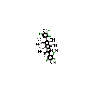 N#CC(C#N)=C1C(c2cc(F)c(C#N)c(F)c2F)=C(C#N)c2c(C#N)c3c(c(C#N)c21)C(=C(C#N)C#N)C(c1cc(F)c(C#N)c(F)c1F)=C3C#N